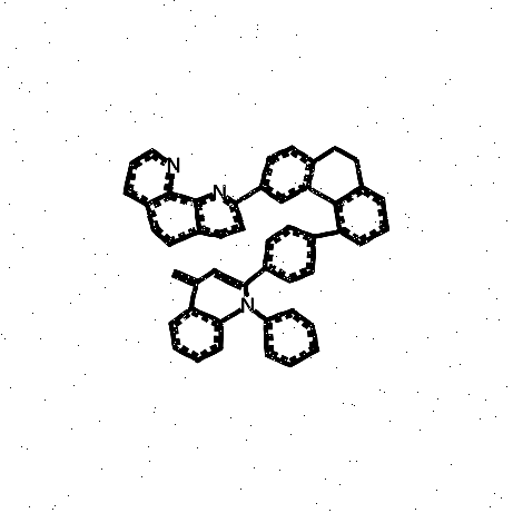 C=C1C=C(c2ccc(-c3cccc4c3-c3cc(-c5ccc6ccc7cccnc7c6n5)ccc3CC4)cc2)N(c2ccccc2)c2ccccc21